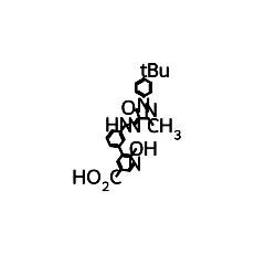 CC1=NN(c2ccc(C(C)(C)C)cc2)C(=O)C1=NNc1cccc(-c2cc(C(=O)O)cnc2O)c1